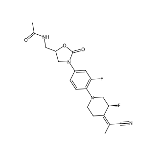 CC(=O)NCC1CN(c2ccc(N3CCC(=C(C)C#N)[C@H](F)C3)c(F)c2)C(=O)O1